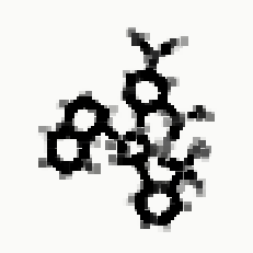 O=[N+]([O-])c1ccc(-n2nc(-c3ccccc3S(=O)(=O)O)n[n+]2-c2cccc3cccnc23)c([N+](=O)[O-])c1